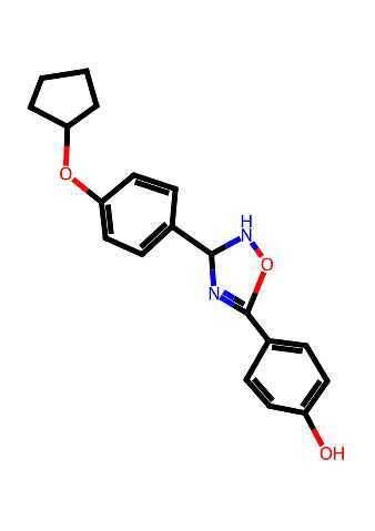 Oc1ccc(C2=NC(c3ccc(OC4CCCC4)cc3)NO2)cc1